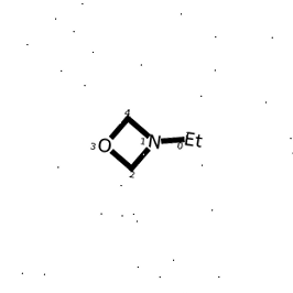 CCN1COC1